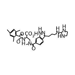 Cc1cc(C)c(S(=O)(=O)NC(CN(C)C(=O)c2ccc3c(CCCNC4NCCN4)n[nH]c3c2)C(=O)O)c(C)c1